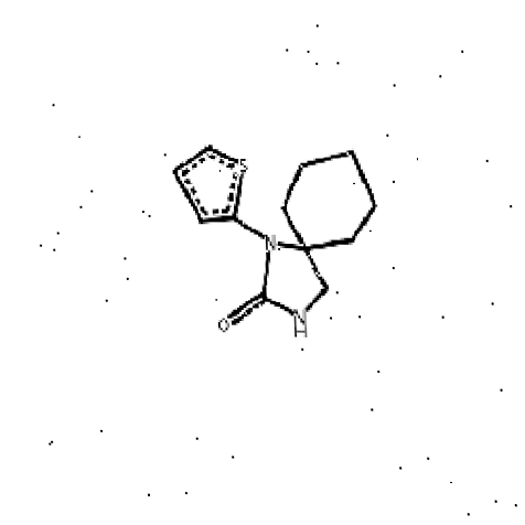 O=C1NCC2(CCCCC2)N1c1cccs1